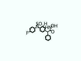 O=C(NO)C(c1ccccc1)c1ccc(N(c2ccc(F)cc2)S(=O)(=O)O)cc1